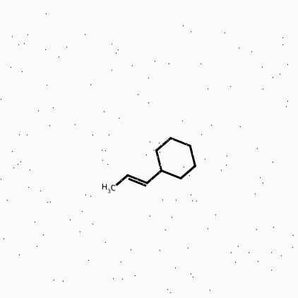 CC=CC1[CH]CCCC1